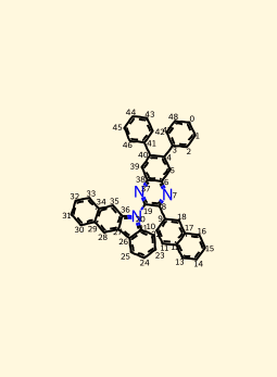 c1ccc(-c2cc3nc(-c4ccc5ccccc5c4)c(-n4c5ccccc5c5cc6ccccc6cc54)nc3cc2-c2ccccc2)cc1